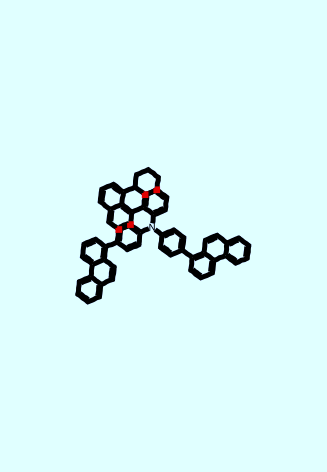 c1ccc(N(c2ccc(-c3cccc4c3ccc3ccccc34)cc2)c2ccc(-c3cccc4c3ccc3ccccc34)cc2)c(-c2cccc3cccc(C4CCCCC4)c23)c1